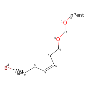 CCCCCOCOCC/C=C\C[CH2][Mg][Br]